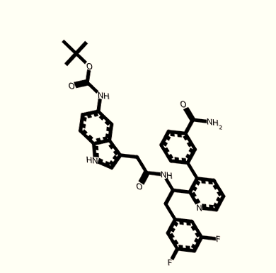 CC(C)(C)OC(=O)Nc1ccc2[nH]cc(CC(=O)NC(Cc3cc(F)cc(F)c3)c3ncccc3-c3cccc(C(N)=O)c3)c2c1